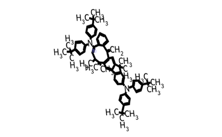 C=C1c2ccccc2/C(N(c2ccc(C(C)(C)C)cc2)c2ccc(C(C)(C)C)cc2)=C\C(C)C(C)(C)c2cc3c(cc21)C(C)(C)c1cc(N(c2ccc(C(C)(C)C)cc2)c2ccc(C(C)(C)C)cc2)ccc1-3